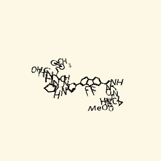 COC(=O)NCC(=O)N(Cc1nc(-c2ccc3c(c2)C(F)(F)c2cc(-c4ccc5nc([C@@H]6[C@H]7CC[C@H](C7)N6C(=O)[C@H](CCS(C)(=O)=O)NC=O)[nH]c5c4)ccc2-3)c[nH]1)CC1(C)CC1